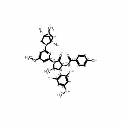 COc1cc(N2C[C@@H]3C[C@H]2CN3C)nc(N2C(=O)[C@@H](NC(=O)c3ccc(Cl)cc3)[C@H](c3c(F)cc(OC)cc3F)[C@H]2C)c1